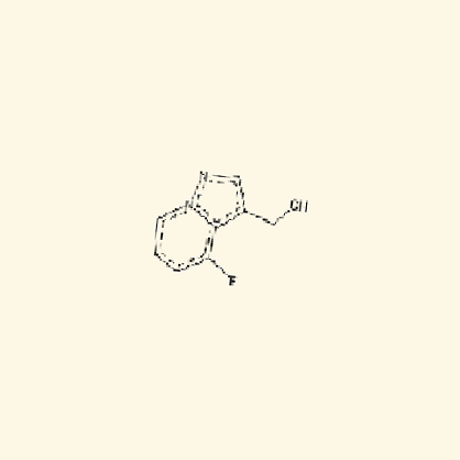 OCc1cnn2cccc(F)c12